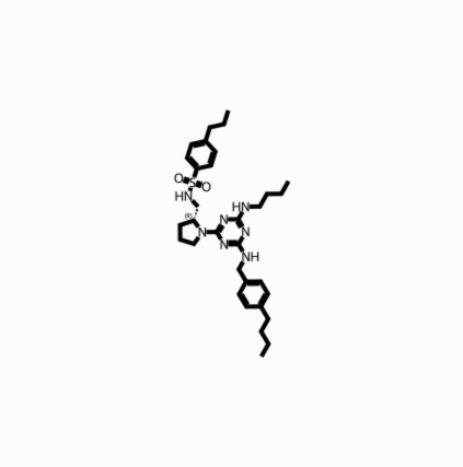 CCCCNc1nc(NCc2ccc(CCCC)cc2)nc(N2CCC[C@@H]2CNS(=O)(=O)c2ccc(CCC)cc2)n1